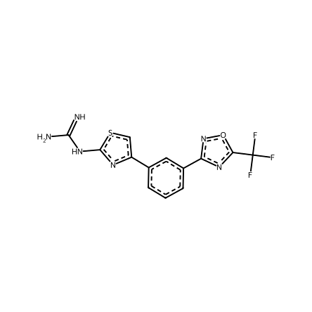 N=C(N)Nc1nc(-c2cccc(-c3noc(C(F)(F)F)n3)c2)cs1